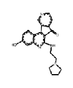 O=C1c2ccncc2-c2c1c(NCCN1CCCC1)nc1cc(O)ccc21